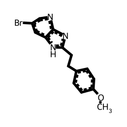 COc1ccc(CCc2nc3ncc(Br)cc3[nH]2)cc1